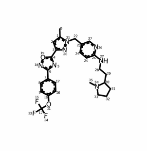 Cc1cc(-c2nc(-c3ccc(OC(F)(F)F)cc3)no2)nn1Cc1ccc(NCCC2CCCN2C)nc1